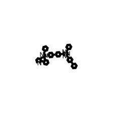 c1ccc(-c2ccc(-c3nc(-c4ccccc4)nc(-c4ccc(-c5ccc(-n6c(-c7ccccc7)nc7c8cccnc8c8ccccc8c76)cc5)cc4)n3)cc2)cc1